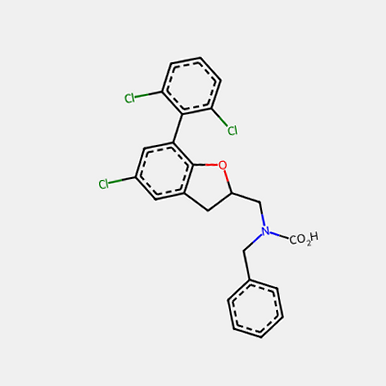 O=C(O)N(Cc1ccccc1)CC1Cc2cc(Cl)cc(-c3c(Cl)cccc3Cl)c2O1